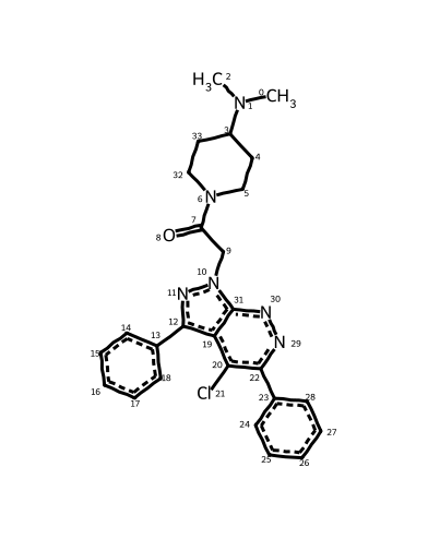 CN(C)C1CCN(C(=O)Cn2nc(-c3ccccc3)c3c(Cl)c(-c4ccccc4)nnc32)CC1